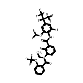 CCN(C(=O)c1ccccc1OC(F)(F)F)c1cccc(C(=O)Nc2c(Cl)cc(C(F)(C(F)(F)F)C(F)(F)F)cc2OC(F)F)c1F